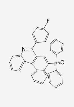 O=P(c1ccccc1)(c1ccccc1)c1cc2c(-c3ccc(F)cc3)nc3ccccc3c2c2ccccc12